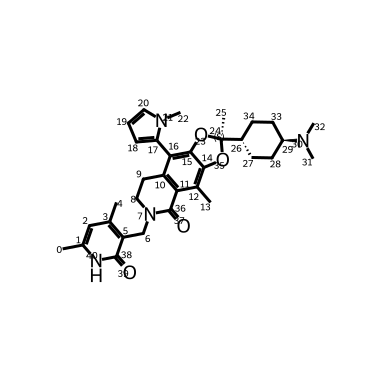 Cc1cc(C)c(CN2CCc3c(c(C)c4c(c3-c3cccn3C)O[C@@](C)([C@H]3CC[C@H](N(C)C)CC3)O4)C2=O)c(=O)[nH]1